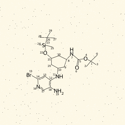 CC(C)(C)OC(=O)NC1CC(Nc2cc(Br)ncc2N)CC(O[Si](C)(C)C(C)(C)C)C1